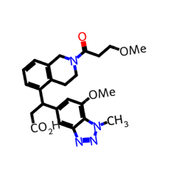 COCCC(=O)N1CCc2c(cccc2C(CC(=O)O)c2cc(OC)c3c(c2)nnn3C)C1